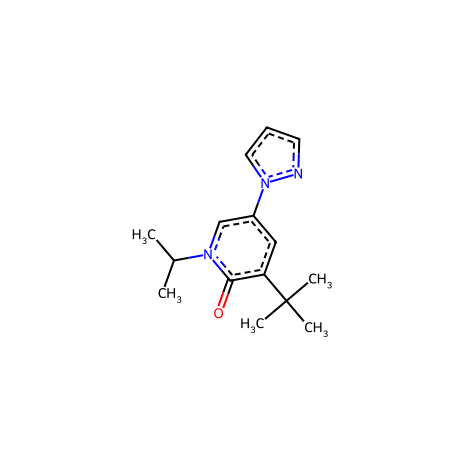 CC(C)n1cc(-n2cccn2)cc(C(C)(C)C)c1=O